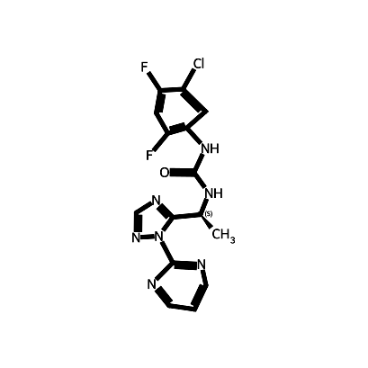 C[C@H](NC(=O)Nc1cc(Cl)c(F)cc1F)c1ncnn1-c1ncccn1